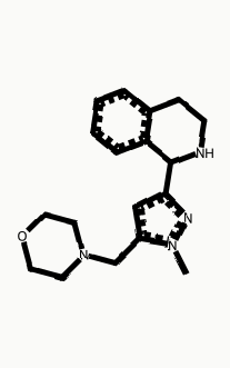 Cn1nc(C2NCCc3ccccc32)cc1CN1CCOCC1